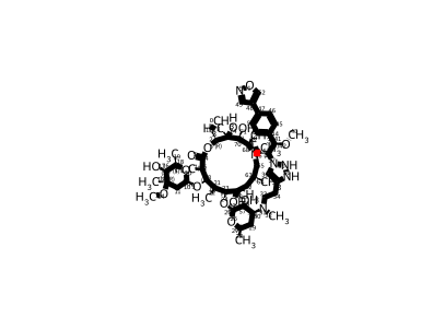 CC[C@H]1OC(=O)[C@H](C)[C@@H](O[C@H]2C[C@@](C)(OC)[C@@H](O)[C@H](C)O2)[C@H](C)[C@@H](O[C@@H]2O[C@H](C)C[C@H](N(C)CCC3=CN([C@H](CF)[C@H](OC)c4ccc(-c5cnoc5)cc4)NN3)[C@H]2O)[C@](C)(O)C[C@@H](C)CN(C)[C@H](C)[C@@H](O)[C@]1(C)O